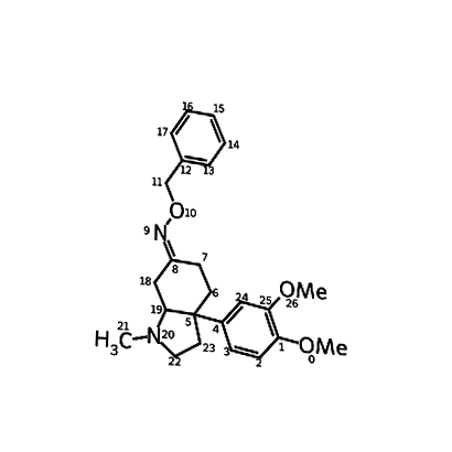 COc1ccc(C23CCC(=NOCc4ccccc4)CC2N(C)CC3)cc1OC